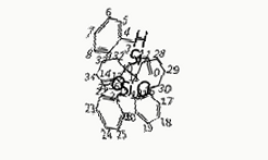 C=C[SiH](Cc1ccccc1)C1(C2([Si](C=C)(c3ccccc3)c3ccccc3)CCCCO2)CCCCO1